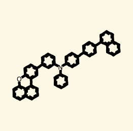 c1ccc(N(c2ccc(-c3ccc(-c4cccc5ccccc45)cc3)cc2)c2cccc(-c3ccc4c(c3)-c3cccc5cccc(c35)O4)c2)cc1